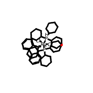 [Cl][Ru]([Cl])(=[C]1c2ccccc2-c2ccccc21)([PH](C1CCCCC1)(C1CCCCC1)C1CCCCC1)[PH](C1CCCCC1)(C1CCCCC1)C1CCCCC1